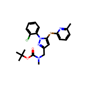 Cc1cccc(Sc2cc(CN(C)C(=O)OC(C)(C)C)nn2-c2ccccc2Cl)n1